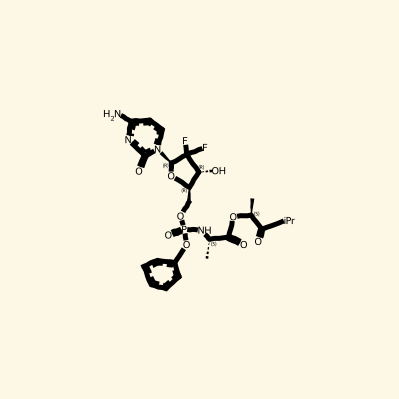 CC(C)C(=O)[C@H](C)OC(=O)[C@H](C)NP(=O)(OC[C@H]1O[C@@H](n2ccc(N)nc2=O)C(F)(F)[C@@H]1O)Oc1ccccc1